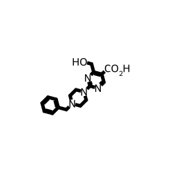 O=C(O)c1cnc(N2CCN(Cc3ccccc3)CC2)nc1CO